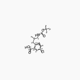 CC(CNC(=O)OC(C)(C)C)Cc1ncc(Cl)cc1C(=O)O